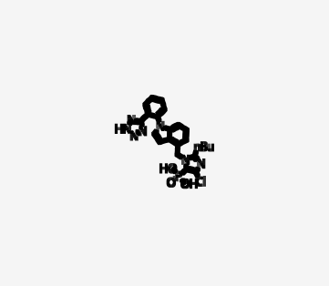 CCCCc1nc(Cl)c(P(=O)(O)O)n1Cc1cccc2c1ccn2-c1ccccc1-c1nn[nH]n1